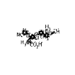 C#CCOc1cccc(-c2cccc(COc3cc(OCc4cncc(C#N)c4)c(CN(C)CC(=O)O)cc3Cl)c2C)c1C